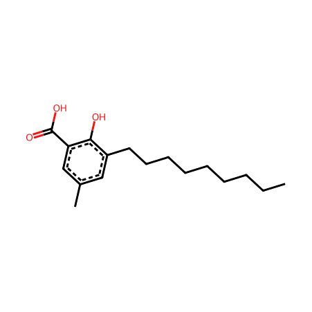 CCCCCCCCCc1cc(C)cc(C(=O)O)c1O